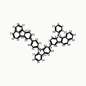 c1ccc(-n2c3ccc(-c4ccc5c6ccccc6n(-c6ccc(-c7ccc8c(c7)-c7cccc9cccc-8c79)cc6)c5c4)cc3c3ccc4ccccc4c32)cc1